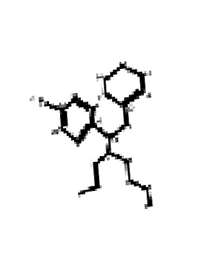 CCCCC(CCC)C(CC1=CCCCC1)c1ccc(F)cc1